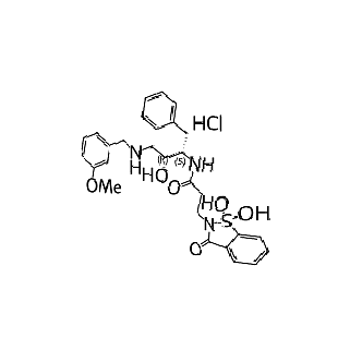 COc1cccc(CNC[C@@H](O)[C@H](Cc2ccccc2)NC(=O)CCN2C(=O)c3ccccc3S2(O)O)c1.Cl